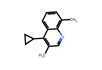 Cc1cnc2c(C)cccc2c1C1CC1